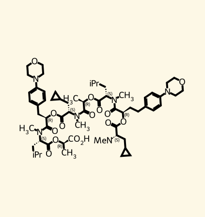 CN[C@@H](CC1CC1)C(=O)O[C@H](CCc1ccc(N2CCOCC2)cc1)C(=O)N(C)[C@@H](CC(C)C)C(=O)O[C@H](C)C(=O)N(C)[C@@H](CC1CC1)C(=O)O[C@H](Cc1ccc(N2CCOCC2)cc1)C(=O)N(C)[C@@H](CC(C)C)C(=O)O[C@H](C)C(=O)O